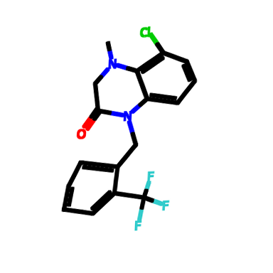 CN1CC(=O)N(Cc2ccccc2C(F)(F)F)c2cccc(Cl)c21